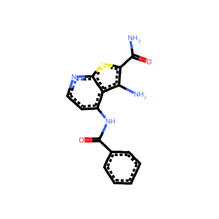 NC(=O)c1sc2nccc(NC(=O)c3ccccc3)c2c1N